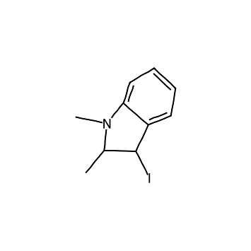 CC1C(I)c2ccccc2N1C